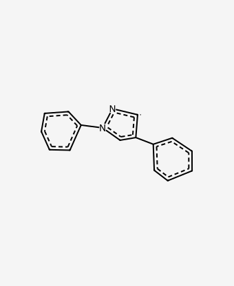 [c]1nn(-c2ccccc2)cc1-c1ccccc1